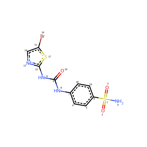 NS(=O)(=O)c1ccc(NC(=O)Nc2ncc(Br)s2)cc1